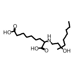 CCCCCCC(C)(O)CCNC(CCCCCCC(=O)O)C(=O)O